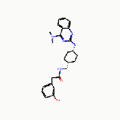 CN(C)c1nc(N[C@H]2CC[C@@H](CNC(=O)Cc3cccc(O)c3)CC2)nc2ccccc12